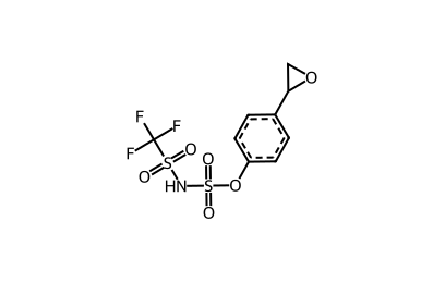 O=S(=O)(NS(=O)(=O)C(F)(F)F)Oc1ccc(C2CO2)cc1